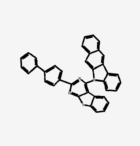 c1ccc(-c2ccc(-c3nc(-n4c5ccccc5c5cc6ccccc6cc54)c4c(n3)sc3ccccc34)cc2)cc1